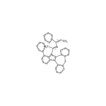 C/C=C(\N=C(/C)n1c2c(c3cccc(-c4ccccc4)c31)-c1ccccc1Sc1ccccc1-2)c1ccccc1